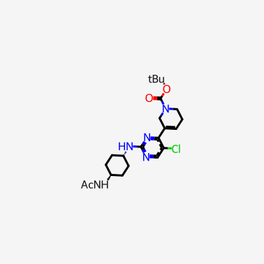 CC(=O)N[C@H]1CC[C@H](Nc2ncc(Cl)c(C3=CCCN(C(=O)OC(C)(C)C)C3)n2)CC1